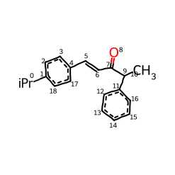 CC(C)c1ccc(/C=C/C(=O)C(C)c2ccccc2)cc1